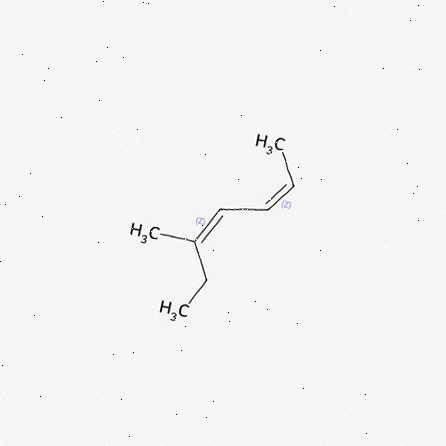 C/C=C\C=C(\C)CC